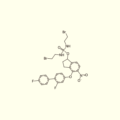 O=[N+]([O-])c1ccc2c(c1Oc1ccc(-c3ccc(F)cc3)c(F)c1)CCC2OP(=O)(NCCBr)NCCBr